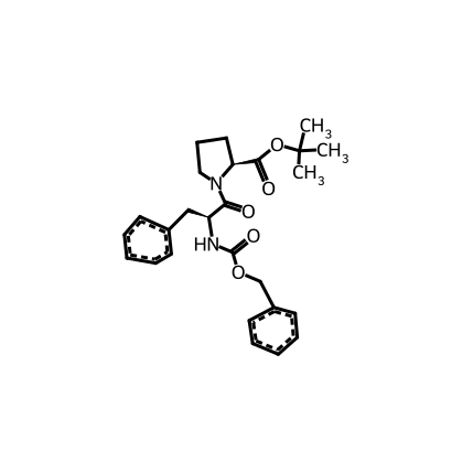 CC(C)(C)OC(=O)[C@@H]1CCCN1C(=O)[C@H](Cc1ccccc1)NC(=O)OCc1ccccc1